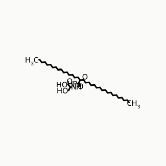 CCCCCCCCC=CCCCCCCC(C(=O)CCCCCCCCCCCCCCCCC)C(=O)PNC(CO)C(=O)O